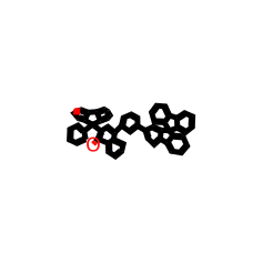 c1cc(-c2ccc3c(c2)C2(c4ccccc4-c4ccccc42)c2ccccc2-3)cc(-c2cc3c(c4ccccc24)Oc2ccccc2C32c3ccccc3-c3ccccc32)c1